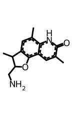 Cc1cc2c3c(cc(C)c2[nH]c1=O)C(C)C(CN)O3